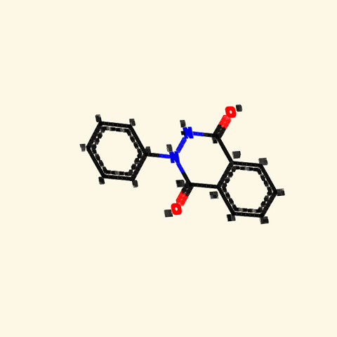 O=C1[N]N(c2ccccc2)C(=O)c2ccccc21